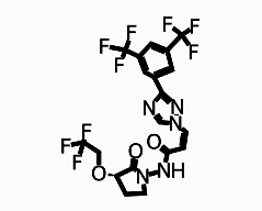 O=C(/C=C\n1cnc(-c2cc(C(F)(F)F)cc(C(F)(F)F)c2)n1)NN1CC[C@H](OCC(F)(F)F)C1=O